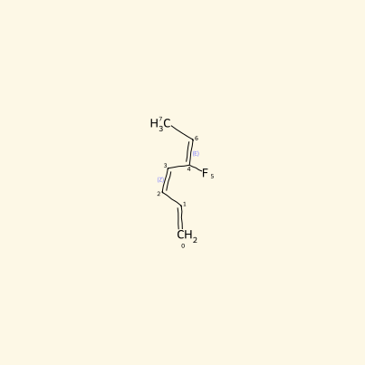 C=C/C=C\C(F)=C/C